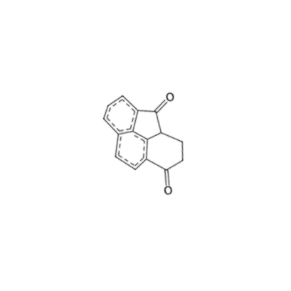 O=C1CCC2C(=O)c3cccc4ccc1c2c34